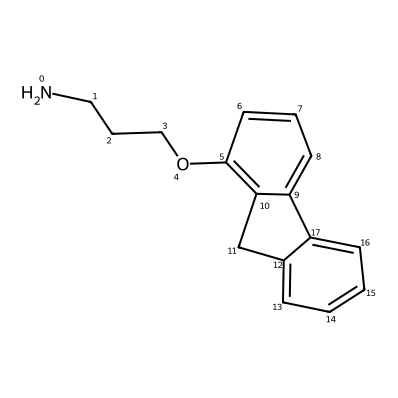 NCCCOc1cccc2c1Cc1ccccc1-2